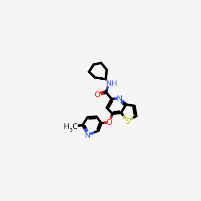 Cc1ccc(Oc2cc(C(=O)NC3CCCCC3)nc3ccsc23)cn1